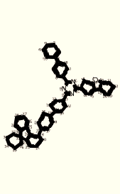 c1ccc(-c2ccc(-c3nc(-c4ccc(-c5ccc(-c6cccc7c6-c6ccccc6C76CCCCC6)cc5)cc4)nc(-c4ccc5c(c4)oc4ccccc45)n3)cc2)cc1